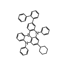 c1ccc(-c2ccccc2-c2ccc3c(c2)N(c2ccccc2)c2cc(C4CCCCC4)cc4c2B3c2ccccc2N4c2ccccc2)cc1